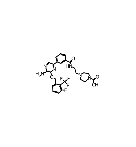 CC(=O)N1CCN(CCNC(=O)c2cccc(-c3cnc(N)c(OCc4cccc(F)c4C(F)(F)F)n3)c2)CC1